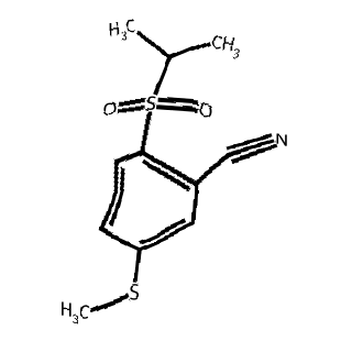 CSc1ccc(S(=O)(=O)C(C)C)c(C#N)c1